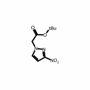 CC(C)(C)OC(=O)Cn1ccc([N+](=O)[O-])n1